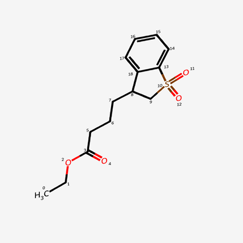 CCOC(=O)CCCC1CS(=O)(=O)c2ccccc21